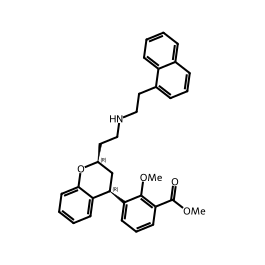 COC(=O)c1cccc([C@@H]2C[C@H](CCNCCc3cccc4ccccc34)Oc3ccccc32)c1OC